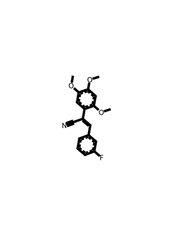 COc1cc(OC)c(/C(C#N)=C/c2cccc(F)c2)cc1OC